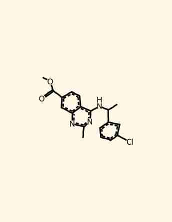 COC(=O)c1ccc2c(NC(C)c3cccc(Cl)c3)nc(C)nc2c1